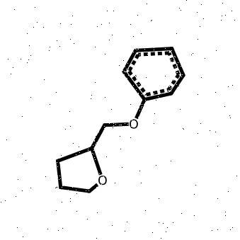 [CH]1COC(COc2ccccc2)C1